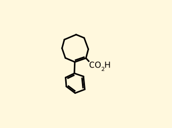 O=C(O)C1=C(c2ccccc2)CCCCCC1